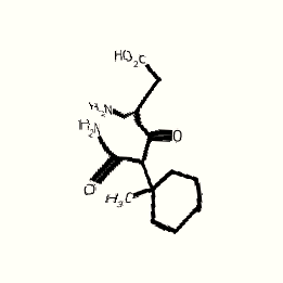 CC1(C(C(N)=O)C(=O)[C@@H](N)CC(=O)O)CCCCC1